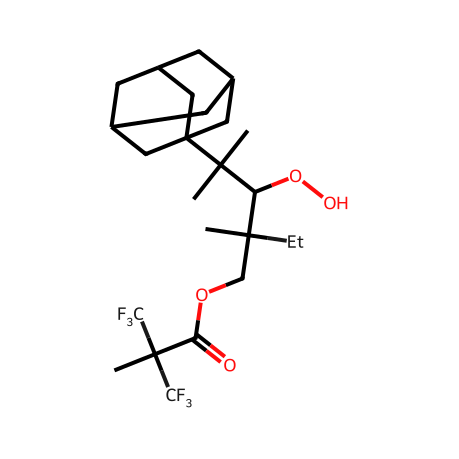 CCC(C)(COC(=O)C(C)(C(F)(F)F)C(F)(F)F)C(OO)C(C)(C)C12CC3CC(CC(C3)C1)C2